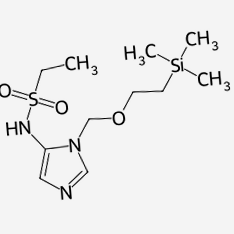 CCS(=O)(=O)Nc1cncn1COCC[Si](C)(C)C